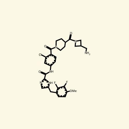 COc1ccc(Cc2cnc(C(=O)Nc3ccc(C(=O)N4CCC(C(=O)N5CC(CN)C5)CC4)c(Cl)c3)[nH]2)c(F)c1F